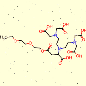 CCOCCOCCOC(=O)CC(C(=O)O)N(CCN(CC(=O)O)CC(=O)O)CCN(CC(=O)O)CC(=O)O